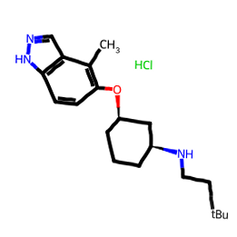 Cc1c(O[C@@H]2CCC[C@H](NCCC(C)(C)C)C2)ccc2[nH]ncc12.Cl